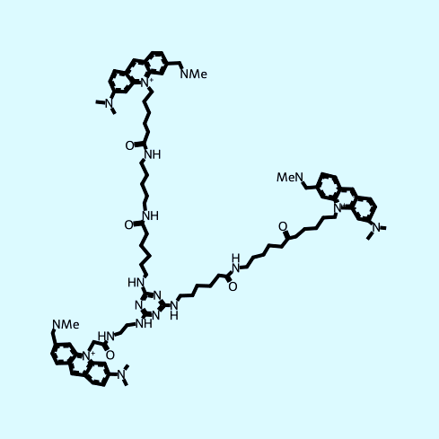 CNCc1ccc2cc3ccc(N(C)C)cc3[n+](CCCCCC(=O)CCCCCNC(=O)CCCCCNc3nc(NCCCCCC(=O)NCCCCCNC(=O)CCCCC[n+]4c5cc(CNC)ccc5cc5ccc(N(C)C)cc54)nc(NCCNC(=O)C[n+]4c5cc(CNC)ccc5cc5ccc(N(C)C)cc54)n3)c2c1